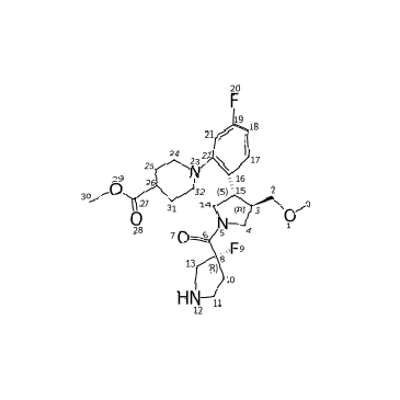 COC[C@H]1CN(C(=O)[C@@]2(F)CCNC2)C[C@@H]1c1ccc(F)cc1N1CCC(C(=O)OC)CC1